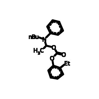 CCCCN(c1ccccc1)C(C)OC(=O)Oc1ccccc1CC